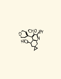 CC(C)c1nc2c(c(C3=CCOCC3)c1C=O)C(O)CC1(CC1)C2